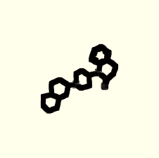 O=C1CCc2ccccc2N1C1CCN(C2CCC3CCCCC3C2)CC1